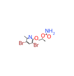 Cc1nc(OC[C@H](C)OC(N)=O)c(Br)cc1Br